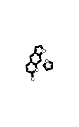 O=c1ccc2cc3ccoc3cc2o1.c1ccoc1